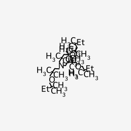 CCC(C)(C)COCC(C)(C)CCN(CCC(C)(C)COCC(C)(C)CC)CC(C)(C)CC(C)(C)OC(C)(C)CC(C)(C)CC